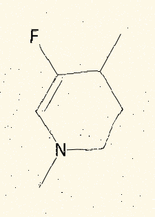 CC1CCN(C)C=C1F